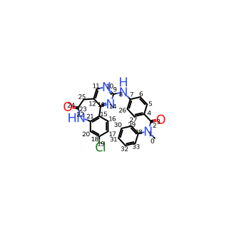 CN(C(=O)c1ccc(Nc2ncc3c(n2)-c2ccc(Cl)cc2NC(=O)C3)cc1)c1ccccc1